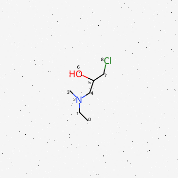 CCN(C)CC(O)CCl